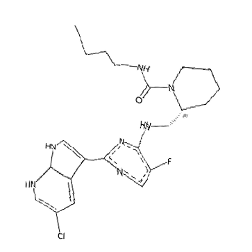 CCCCNC(=O)N1CCCC[C@@H]1CNc1nc(C2=CNC3NC=C(Cl)C=C23)ncc1F